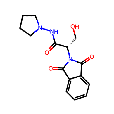 O=C(NN1CCCC1)[C@H](CO)N1C(=O)c2ccccc2C1=O